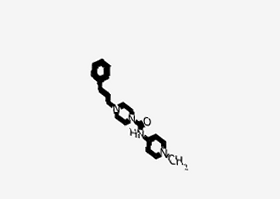 CN1CCC(NC(=O)N2CCN(CC=Cc3ccccc3)CC2)CC1